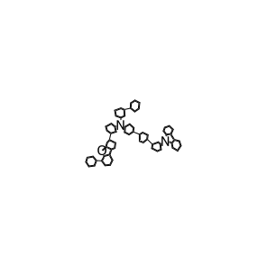 c1ccc(-c2cccc(N(c3ccc(-c4ccc(-c5cccc(-n6c7ccccc7c7ccccc76)c5)cc4)cc3)c3cccc(-c4ccc5c(c4)oc4c(-c6ccccc6)cccc45)c3)c2)cc1